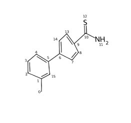 Cc1cccc(-c2ccc(C(N)=S)cc2)c1